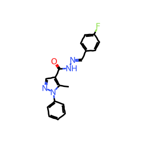 Cc1c(C(=O)NN=Cc2ccc(F)cc2)cnn1-c1ccccc1